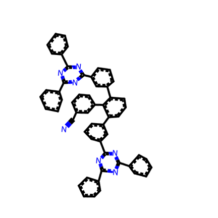 N#Cc1cccc(-c2c(-c3cccc(-c4nc(-c5ccccc5)nc(-c5ccccc5)n4)c3)cccc2-c2cccc(-c3nc(-c4ccccc4)nc(-c4ccccc4)n3)c2)c1